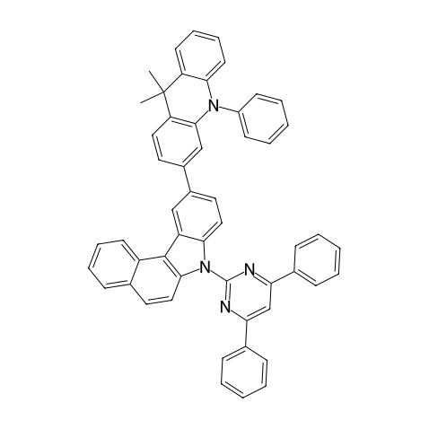 CC1(C)c2ccccc2N(c2ccccc2)c2cc(-c3ccc4c(c3)c3c5ccccc5ccc3n4-c3nc(-c4ccccc4)cc(-c4ccccc4)n3)ccc21